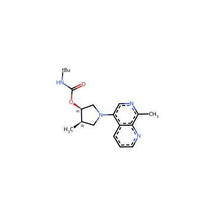 Cc1ncc(N2C[C@@H](C)[C@@H](OC(=O)NC(C)(C)C)C2)c2cccnc12